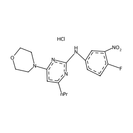 CCCc1cc(N2CCOCC2)nc(Nc2ccc(F)c([N+](=O)[O-])c2)n1.Cl